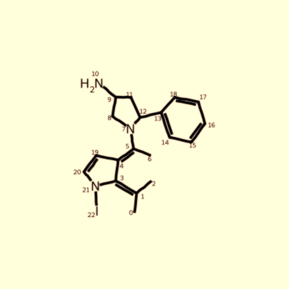 CC(C)=c1/c(=C(\C)N2CC(N)CC2c2ccccc2)ccn1I